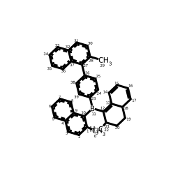 Cc1ccc2ccccc2c1B(C1=C2C=CC=CC2CCC1C)c1ccc(-c2c(C)ccc3ccccc23)cc1